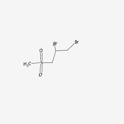 CS(=O)(=O)CC(Br)CBr